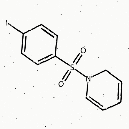 O=S(=O)(c1ccc(I)cc1)N1C=CC=CC1